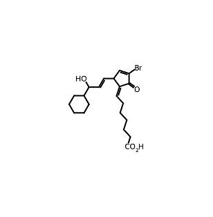 O=C(O)CCCCC/C=C1\C(=O)C(Br)=CC1/C=C/C(O)C1CCCCC1